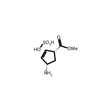 COC(=O)[C@H]1C=C[C@@H](N)C1.O=S(=O)(O)O